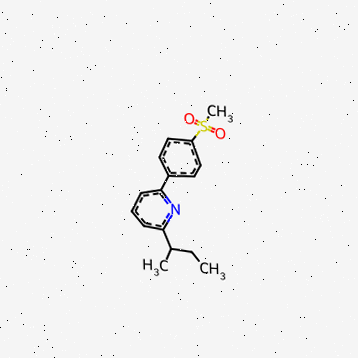 CCC(C)c1cccc(-c2ccc(S(C)(=O)=O)cc2)n1